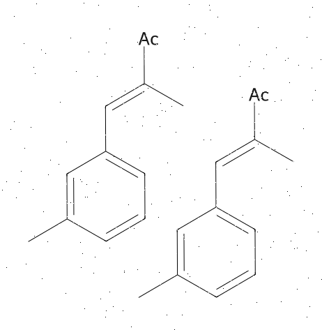 CC(=O)C(C)=Cc1cccc(C)c1.CC(=O)C(C)=Cc1cccc(C)c1